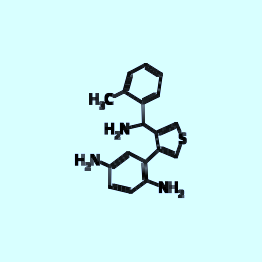 Cc1ccccc1C(N)c1cscc1-c1cc(N)ccc1N